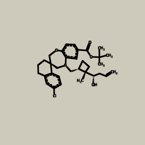 C=CC[C@H](O)[C@@]1(C)CC[C@H]1CN1C[C@@]2(CCCc3cc(Cl)ccc32)COc2ccc(C(=O)OC(C)(C)C)cc21